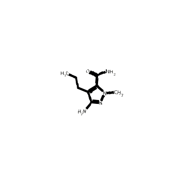 CCCc1c(N)nn(C)c1C(N)=O